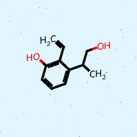 [CH2]C(CO)c1cccc(O)c1C=C